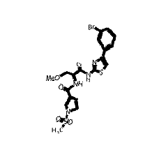 COCC(NC(=O)c1ccn(S(C)(=O)=O)c1)C(=O)Nc1nc(-c2cccc(Br)c2)cs1